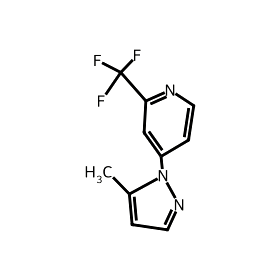 Cc1ccnn1-c1ccnc(C(F)(F)F)c1